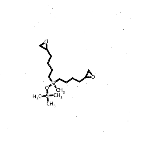 C[Si](C)(C)O[Si](C)(CCCCC1CO1)CCCCC1CO1